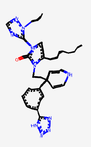 CCCCc1cn(-c2ncnn2CC)c(=O)n1CC1(c2cccc(-c3nnn[nH]3)c2)C=CNC=C1